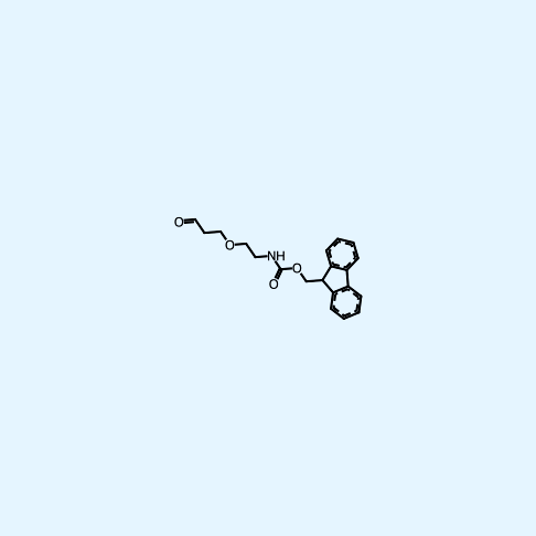 O=CCCOCCNC(=O)OCC1c2ccccc2-c2ccccc21